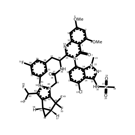 COc1cc(OC)c2c(=O)n(-c3ccc(Cl)c4c(NS(C)(=O)=O)nn(C)c34)c(C(Cc3cc(F)cc(F)c3)NC(=O)Cn3nc(C(F)F)c4c3C(F)(F)[C@@H]3C[C@H]43)nc2c1